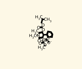 COC(=O)OC1=C(C)N(C)C(C)=C(OC(=O)OCC(C)C)C1c1ccccc1[N+](=O)[O-]